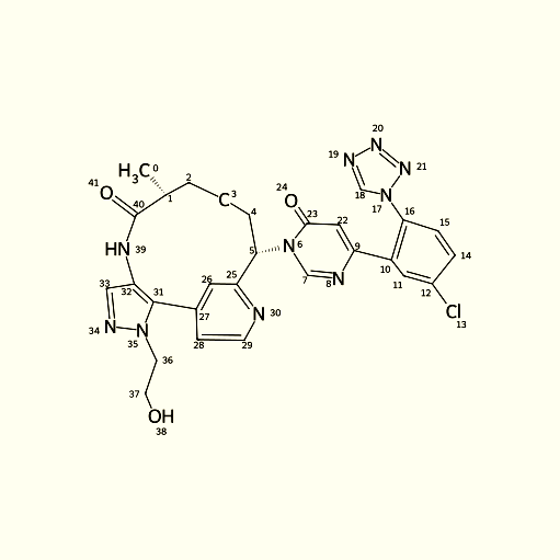 C[C@@H]1CCC[C@H](n2cnc(-c3cc(Cl)ccc3-n3cnnn3)cc2=O)c2cc(ccn2)-c2c(cnn2CCO)NC1=O